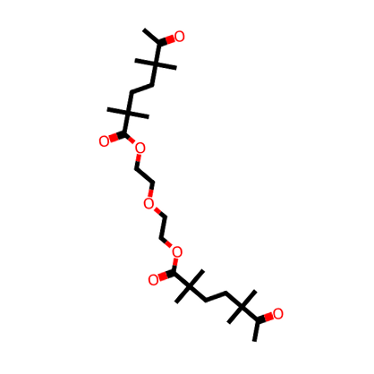 CC(=O)C(C)(C)CCC(C)(C)C(=O)OCCOCCOC(=O)C(C)(C)CCC(C)(C)C(C)=O